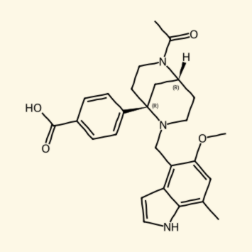 COc1cc(C)c2[nH]ccc2c1CN1CC[C@@H]2C[C@@]1(c1ccc(C(=O)O)cc1)CCN2C(C)=O